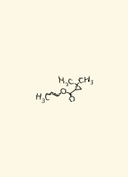 CC=COC(=O)C1CC1(C)C